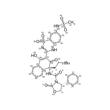 CC(C)(C)CC[C@]1(NC(=O)N2C(=O)OC[C@H]2c2ccccc2)C(=O)C(C2=NS(=O)(=O)c3cc(NS(C)(=O)=O)ccc3N2)=C(O)c2ccccc21